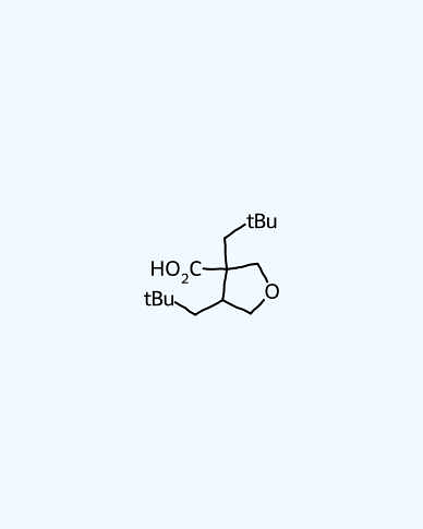 CC(C)(C)CC1COCC1(CC(C)(C)C)C(=O)O